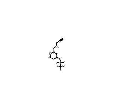 C#CCOC[C@H]1C[C@@H](O[Si](C)(C)C(C)(C)C)CCO1